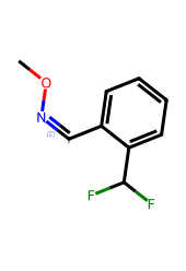 CO/N=[C]\c1ccccc1C(F)F